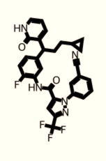 N#Cc1cccc(-n2nc(C(F)(F)F)cc2C(=O)Nc2cc(C(CCC3CC3)c3ccc[nH]c3=O)ccc2F)c1